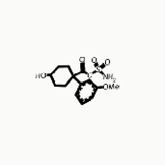 COc1cccc(C2(C(=O)OS(N)(=O)=O)CCC(O)CC2)c1